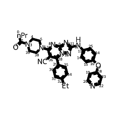 CCCC(=O)N1CCN(c2nc3nc(Nc4ccc(Oc5ccncc5)cc4)nn3c(-c3ccc(CC)cc3)c2C#N)CC1